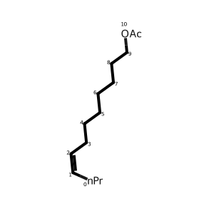 CCC/C=C\CCCCCCCOC(C)=O